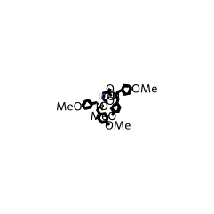 COc1ccc(CN(Cc2ccc(OC)cc2)OC(=O)/C=C\C(=O)ON(Cc2ccc(OC)cc2)Cc2ccc(OC)cc2)cc1